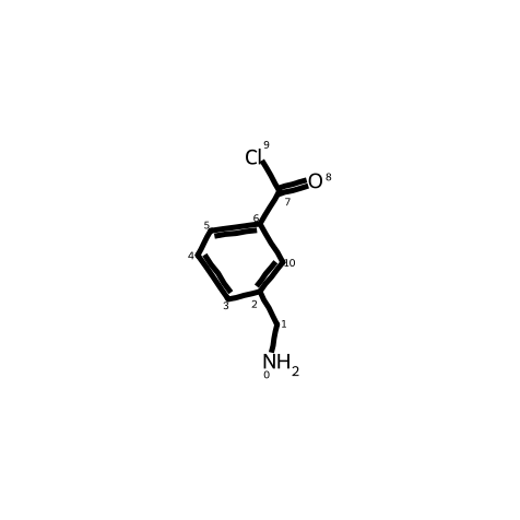 NCc1cccc(C(=O)Cl)c1